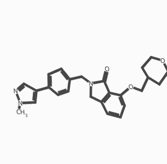 Cn1cc(-c2ccc(CN3Cc4cccc(OCC5CCOCC5)c4C3=O)cc2)cn1